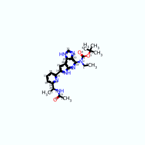 CCN(C(=O)OC(C)(C)C)c1nc2[nH]c(-c3cccc(C(C)NC(C)=O)n3)cc2c2[nH]cnc12